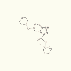 O=C(N[C@H]1CN2CCC1CC2)c1n[nH]c2ccc(OC3CCOCC3)cc12